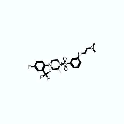 C[C@@H]1CN(c2ccc(F)cc2C(F)(F)F)CCN1S(=O)(=O)c1cccc(OCCN(C)C)c1